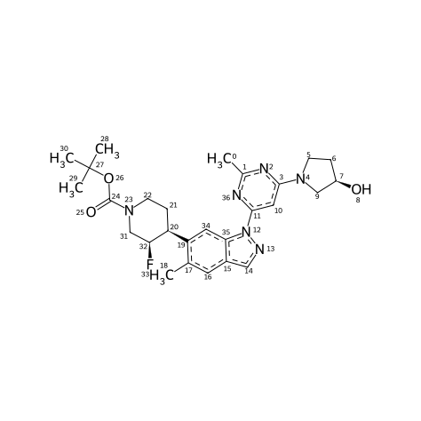 Cc1nc(N2CC[C@@H](O)C2)cc(-n2ncc3cc(C)c([C@@H]4CCN(C(=O)OC(C)(C)C)C[C@@H]4F)cc32)n1